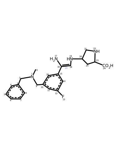 CN(Cc1ccccc1)Cc1cc(F)cc(/C(N)=C/NC2CNC(C(=O)O)C2)c1